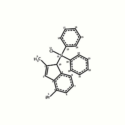 CC1=Cc2c(C(C)C)cccc2C1[Si](Cl)(c1ccccc1)c1ccccc1